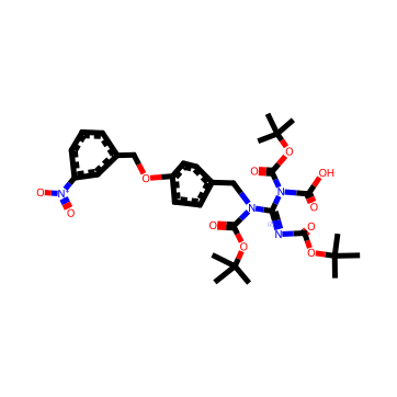 CC(C)(C)OC(=O)/N=C(/N(Cc1ccc(OCc2cccc([N+](=O)[O-])c2)cc1)C(=O)OC(C)(C)C)N(C(=O)O)C(=O)OC(C)(C)C